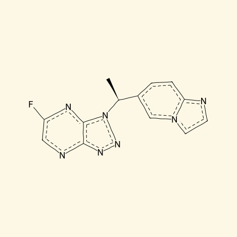 C[C@@H](c1ccc2nccn2c1)n1nnc2ncc(F)nc21